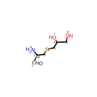 N[C@H](C=O)CSCC(O)CO